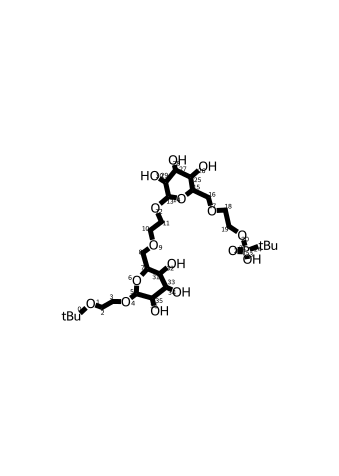 CC(C)(C)OCCOC1OC(COCCOC2OC(COCCOP(=O)(O)C(C)(C)C)C(O)C(O)C2O)C(O)C(O)C1O